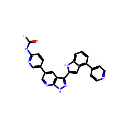 CCC(=O)Nc1ccc(-c2cnc3[nH]nc(-c4cc5c(-c6ccncc6)cccc5[nH]4)c3c2)cn1